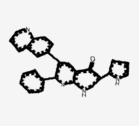 O=c1c(-c2ccc[nH]2)c[nH]c2nc(-c3ccccc3)c(-c3ccc4ncccc4c3)cc12